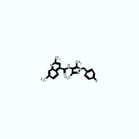 Cc1nn(Cc2ccc(F)cc2)c(C)c1NC(=O)c1cc(C(F)(F)F)nc2cc(C(F)(F)F)ccc12